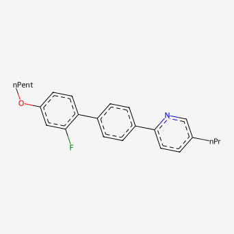 CCCCCOc1ccc(-c2ccc(-c3ccc(CCC)cn3)cc2)c(F)c1